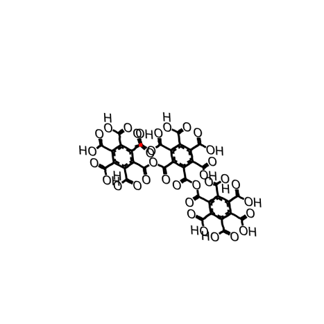 CC(=O)OC(=O)c1c(C(=O)O)c(C(=O)O)c(C(=O)O)c(C(=O)OC(=O)c2c(C(=O)O)c(C(=O)O)c(C(=O)O)c(C(=O)O)c2C(=O)O)c1C(=O)OC(=O)c1c(C(=O)O)c(C(=O)O)c(C(=O)O)c(C(=O)O)c1C(=O)O